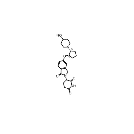 O=C1CCC(N2Cc3cc(O[C@@H]4CCC[C@H]4N4CCC(O)CC4)ccc3C2=O)C(=O)N1